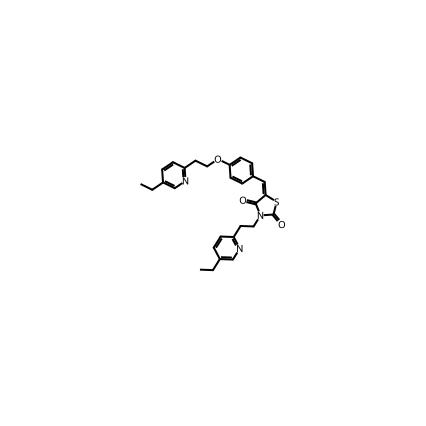 CCc1ccc(CCOc2ccc(C=C3SC(=O)N(CCc4ccc(CC)cn4)C3=O)cc2)nc1